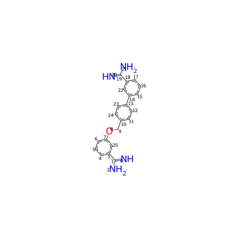 N=C(N)c1cccc(OCc2ccc(-c3cccc(C(=N)N)c3)cc2)c1